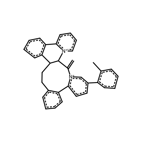 C=C1C2C(CCc3ccccc3-c3ccc(-c4ccccc4C)c[n+]31)c1ccccc1-c1cccc[n+]12